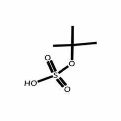 CC(C)(C)OS(=O)(=O)O